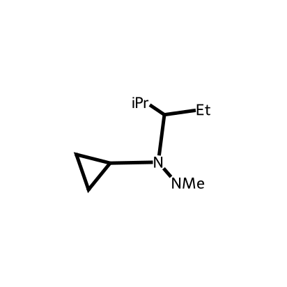 CCC(C(C)C)N(NC)C1CC1